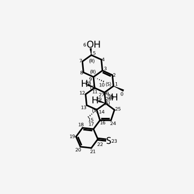 C[C@@H]1C=C2C[C@H](O)CC[C@]2(C)[C@H]2CC[C@]3(C)C(C4=CC=CCC4=S)=CC[C@H]3[C@H]12